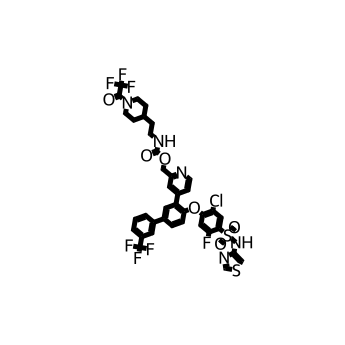 O=C(NCCC1CCN(C(=O)C(F)(F)F)CC1)OCc1cc(-c2cc(-c3cccc(C(F)(F)F)c3)ccc2Oc2cc(F)c(S(=O)(=O)Nc3cscn3)cc2Cl)ccn1